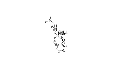 CN(C)CCNCC1(O)COc2ccccc2OC1.Cl.Cl